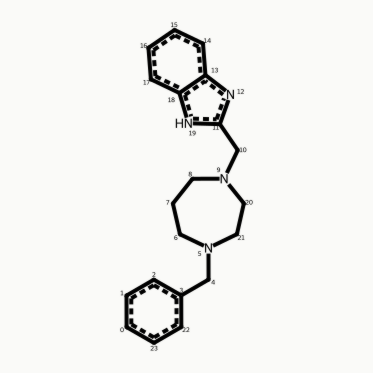 c1ccc(CN2CCCN(Cc3nc4ccccc4[nH]3)CC2)cc1